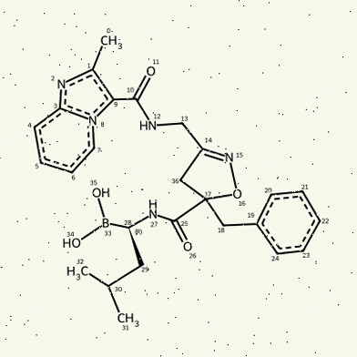 Cc1nc2ccccn2c1C(=O)NCC1=NOC(Cc2ccccc2)(C(=O)N[C@@H](CC(C)C)B(O)O)C1